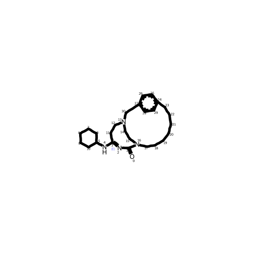 O=C1/N=C(/NC2CCCCC2)CCN2CCN1CCCCCCCc1ccc(cc1)C2